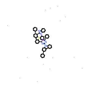 c1ccc(-c2ccc3c(c2)c2ccccc2n3-c2nc(-c3ccccc3)nc(-c3cccc4c3sc3c(-c5nc6ccccc6n5-c5ccccc5)c(-c5ccccc5)ccc34)n2)cc1